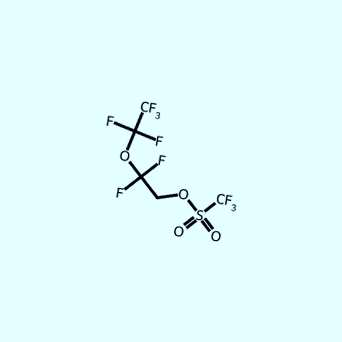 O=S(=O)(OCC(F)(F)OC(F)(F)C(F)(F)F)C(F)(F)F